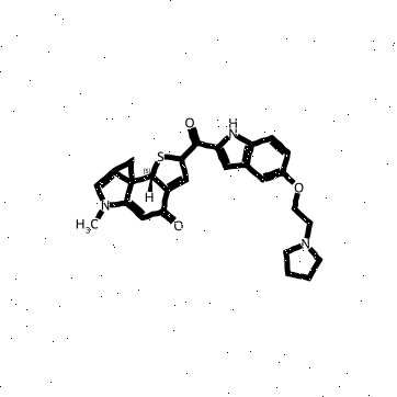 CN1C=C2CC23C1=CC(=O)C1=CC(C(=O)c2cc4cc(OCCN5CCCC5)ccc4[nH]2)S[C@H]13